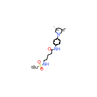 C[C@@H]1C[C@@H](C)CN(c2ccc(NC(=O)CCCCNS(=O)(=O)C(C)(C)C)cc2)C1